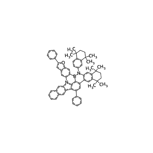 CC1(C)CCC(C)(C)c2cc(N3B4c5cc6oc(-c7ccccc7)cc6cc5-n5c6cc7ccccc7cc6c6c(-c7ccccc7)cc(c4c65)-c4cc5c(cc43)C(C)(C)CCC5(C)C)ccc21